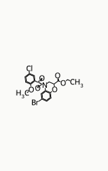 CCOC(=O)C1CN(S(=O)(=O)c2cc(Cl)ccc2OC)c2cc(Br)ccc2O1